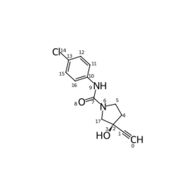 C#C[C@@]1(O)CCN(C(=O)Nc2ccc(Cl)cc2)C1